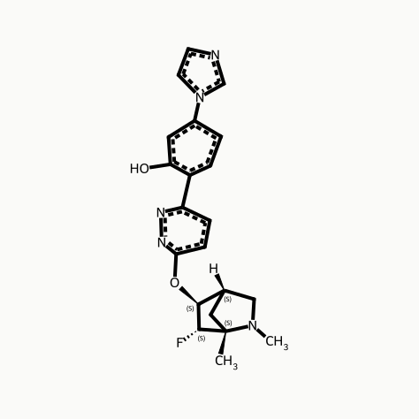 CN1C[C@@H]2C[C@@]1(C)[C@H](F)[C@H]2Oc1ccc(-c2ccc(-n3ccnc3)cc2O)nn1